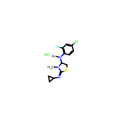 CC(=O)N(c1ccc(Cl)cc1F)C1CSC(=NC2CC2)N1C.Cl